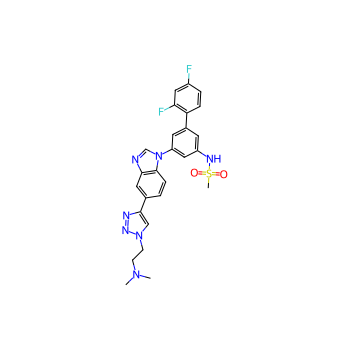 CN(C)CCn1cc(-c2ccc3c(c2)ncn3-c2cc(NS(C)(=O)=O)cc(-c3ccc(F)cc3F)c2)nn1